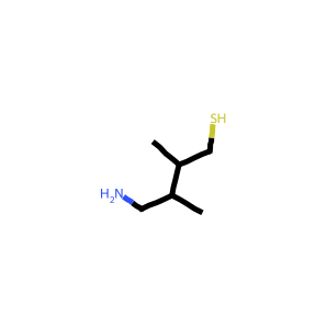 CC(CN)C(C)CS